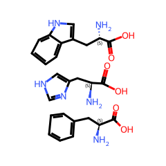 N[C@@H](Cc1c[nH]c2ccccc12)C(=O)O.N[C@@H](Cc1c[nH]cn1)C(=O)O.N[C@@H](Cc1ccccc1)C(=O)O